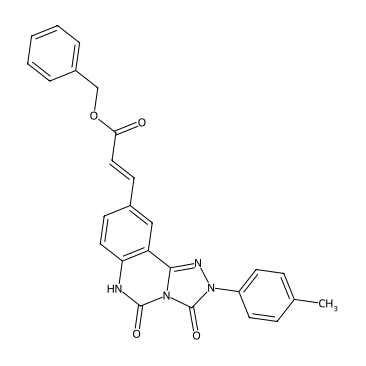 Cc1ccc(-n2nc3c4cc(/C=C/C(=O)OCc5ccccc5)ccc4[nH]c(=O)n3c2=O)cc1